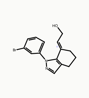 OC/C=C1\CCCc2cnn(-c3cccc(Br)c3)c21